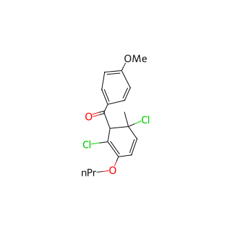 CCCOC1=C(Cl)C(C(=O)c2ccc(OC)cc2)C(C)(Cl)C=C1